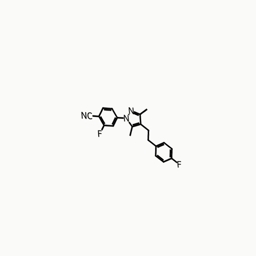 Cc1nn(-c2ccc(C#N)c(F)c2)c(C)c1CCc1ccc(F)cc1